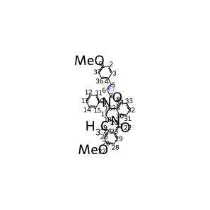 COc1ccc(/C=C/C(=O)N(c2ccccc2)C2CC(C)N(C(=O)c3ccc(OC)cc3)c3ccccc32)cc1